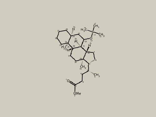 COC(=O)CC[C@@H](C)[C@H]1CC[C@H]2[C@@H]3C(O[Si](C)(C)C)C[C@@H]4CCCC[C@]4(C)[C@H]3CC[C@]12C